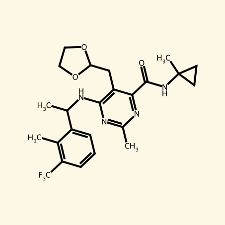 Cc1nc(NC(C)c2cccc(C(F)(F)F)c2C)c(CC2OCCO2)c(C(=O)NC2(C)CC2)n1